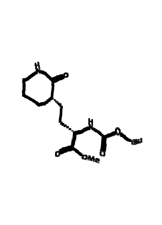 COC(=O)[C@H](CC[C@@H]1CCCNC1=O)NC(=O)OC(C)(C)C